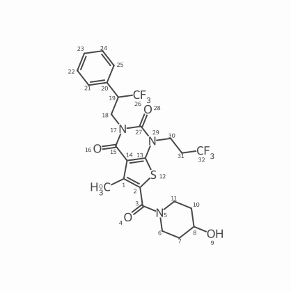 Cc1c(C(=O)N2CCC(O)CC2)sc2c1c(=O)n(CC(c1ccccc1)C(F)(F)F)c(=O)n2CCC(F)(F)F